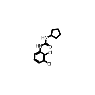 O=C(Nc1cccc(Cl)c1Cl)NC1CCCC1